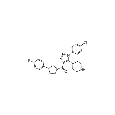 O=C(c1cnn(-c2ccc(Cl)cc2)c1C1CCNCC1)N1CCC(c2ccc(F)cc2)C1